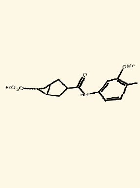 CCOC(=O)C1C2CC(C(=O)Nc3ccc(C)c(OC)c3)CC21